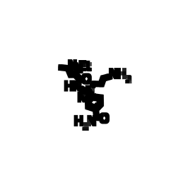 CCn1nc(C)cc1C(=O)Nc1nc2cc(C(N)=O)ccc2n1CCCCN